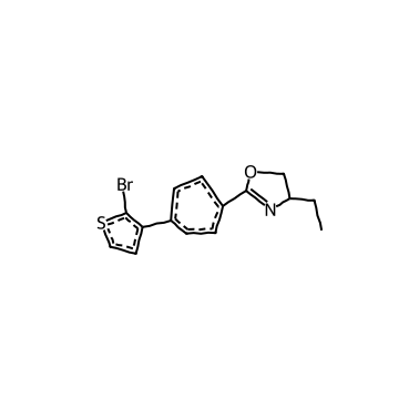 CCC1COC(c2ccc(-c3ccsc3Br)cc2)=N1